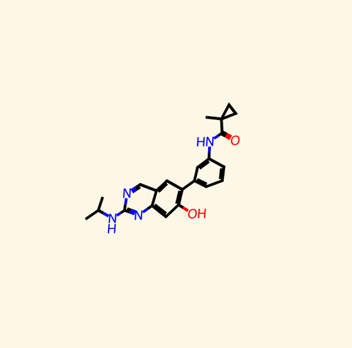 CC(C)Nc1ncc2cc(-c3cccc(NC(=O)C4(C)CC4)c3)c(O)cc2n1